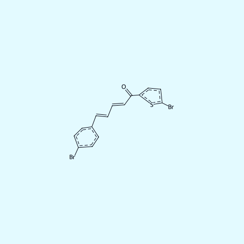 O=C(/C=C/C=C/c1ccc(Br)cc1)c1ccc(Br)s1